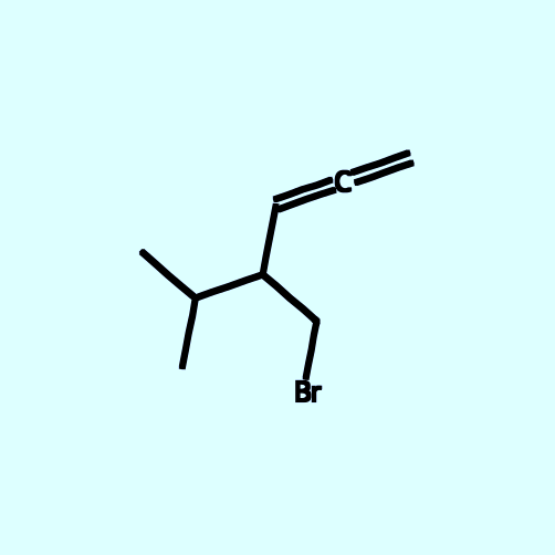 C=C=CC(CBr)C(C)C